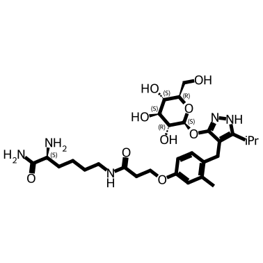 Cc1cc(OCCC(=O)NCCCC[C@H](N)C(N)=O)ccc1Cc1c(O[C@@H]2O[C@H](CO)[C@@H](O)[C@H](O)[C@H]2O)n[nH]c1C(C)C